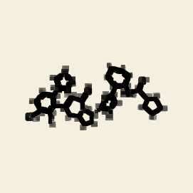 O=C(Nc1ccccc1-c1c[nH]c([C@@H]2CCC3CC(c4c(-n5cnnn5)ccc(Cl)c4F)=CC(=O)N32)n1)C1CCCC1